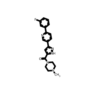 CN1CCN(C(=O)c2cc(-c3ccc(-c4cccc(F)c4)nc3)n[nH]2)CC1